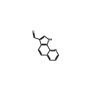 O=Cc1c[nH]c2c1ccc1cccnc12